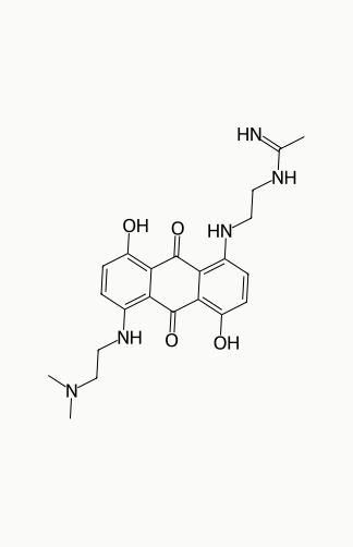 CC(=N)NCCNc1ccc(O)c2c1C(=O)c1c(O)ccc(NCCN(C)C)c1C2=O